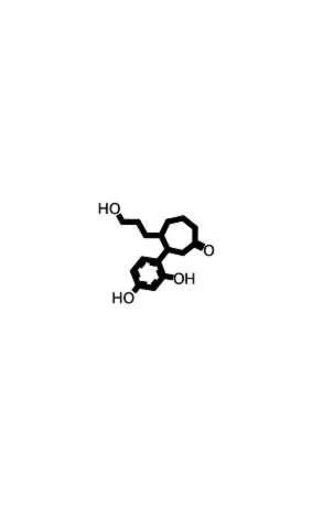 O=C1CCCC(CCCO)C(c2ccc(O)cc2O)C1